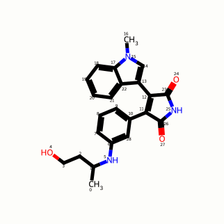 CC(CCO)Nc1cccc(C2=C(c3cn(C)c4ccccc34)C(=O)NC2=O)c1